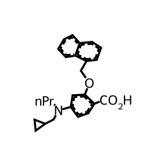 CCCN(CC1CC1)c1ccc(C(=O)O)c(OCc2cccc3ccccc23)c1